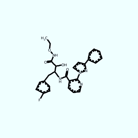 CCONC(=O)C(O)C(Cc1ccc(F)cc1)NC(=O)c1cccnc1-n1ccc(-c2ccccc2)n1